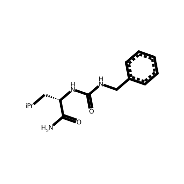 CC(C)C[C@H](NC(=O)NCc1ccccc1)C(N)=O